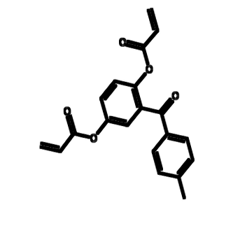 C=CC(=O)Oc1ccc(OC(=O)C=C)c(C(=O)c2ccc(C)cc2)c1